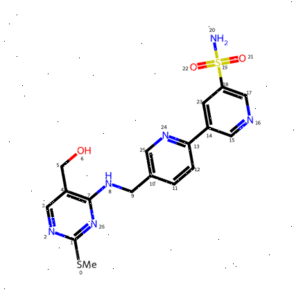 CSc1ncc(CO)c(NCc2ccc(-c3cncc(S(N)(=O)=O)c3)nc2)n1